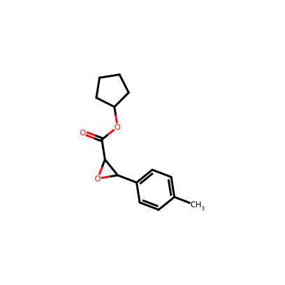 Cc1ccc(C2OC2C(=O)OC2CCCC2)cc1